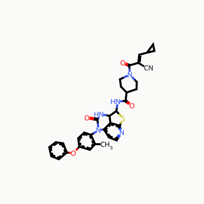 Cc1cc(Oc2ccccc2)ccc1N1C(=O)NC2c3c1ccnc3SC2NC(=O)C1CCN(C(=O)/C(C#N)=C/C2CC2)CC1